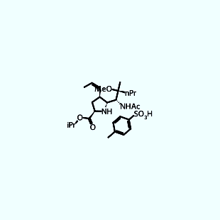 C/C=C\[C@@H]1C[C@H](C(=O)OC(C)C)N[C@H]1[C@@H](NC(C)=O)[C@](C)(CCC)OC.Cc1ccc(S(=O)(=O)O)cc1